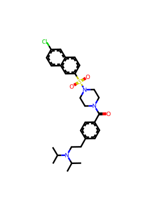 CC(C)N(CCc1ccc(C(=O)N2CCN(S(=O)(=O)c3ccc4cc(Cl)ccc4c3)CC2)cc1)C(C)C